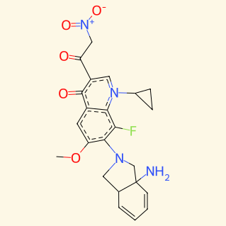 COc1cc2c(=O)c(C(=O)C[N+](=O)[O-])cn(C3CC3)c2c(F)c1N1CC2C=CC=CC2(N)C1